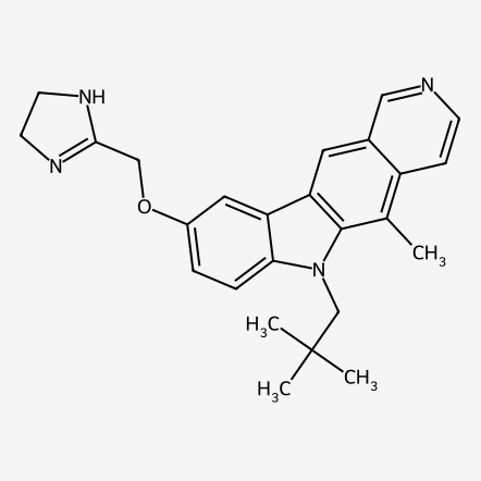 Cc1c2ccncc2cc2c3cc(OCC4=NCCN4)ccc3n(CC(C)(C)C)c12